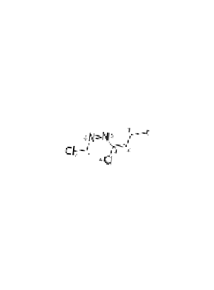 CC/C=C(Cl)\N=N/CCl